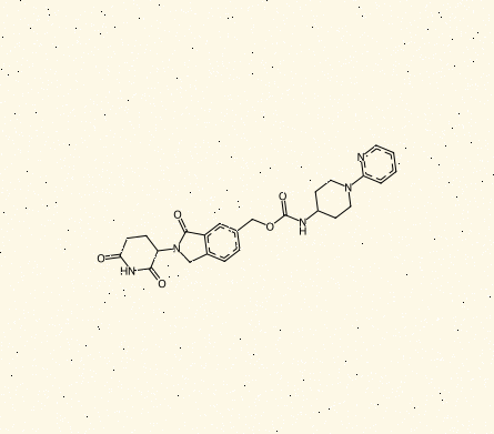 O=C1CCC(N2Cc3ccc(COC(=O)NC4CCN(c5ccccn5)CC4)cc3C2=O)C(=O)N1